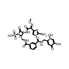 CO/N=C(\C(=O)N[C@@H]1C(=O)N(S(=O)(=O)O)[C@@H]1CNC(=O)c1cccc(C(=O)NCc2cc(=O)c(O)cn2O)c1)c1csc(N)n1